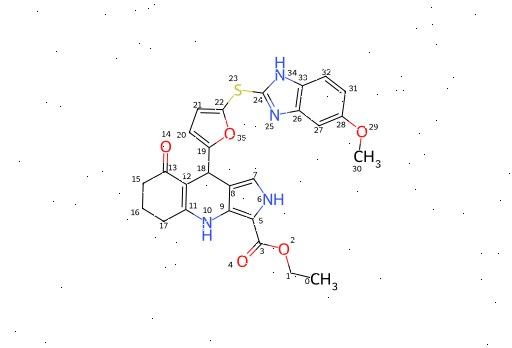 CCOC(=O)c1[nH]cc2c1NC1=C(C(=O)CCC1)C2c1ccc(Sc2nc3cc(OC)ccc3[nH]2)o1